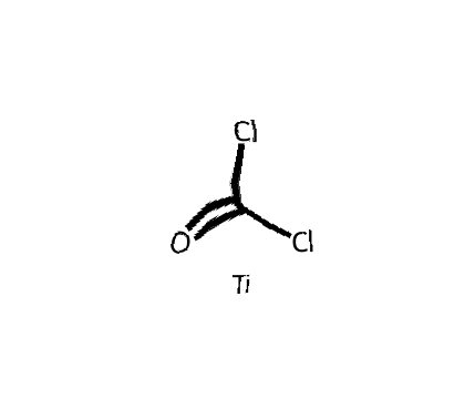 O=C(Cl)Cl.[Ti]